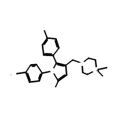 Cc1ccc(-c2c(CN3CC[Si](C)(C)CC3)cc(C)n2-c2ccc(C(C)C)cc2)cc1